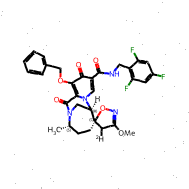 [2H]C1C(OC)=NO[C@@]12CC[C@H](C)N1C[C@H]2n2cc(C(=O)NCc3c(F)cc(F)cc3F)c(=O)c(OCc3ccccc3)c2C1=O